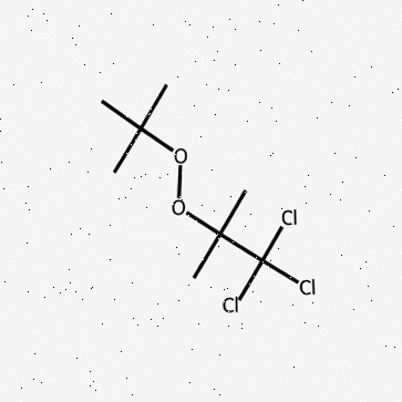 CC(C)(C)OOC(C)(C)C(Cl)(Cl)Cl